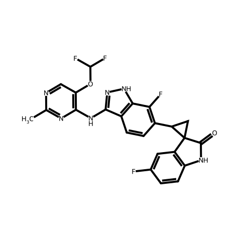 Cc1ncc(OC(F)F)c(Nc2n[nH]c3c(F)c(C4CC45C(=O)Nc4ccc(F)cc45)ccc23)n1